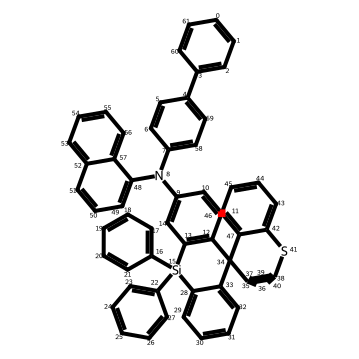 c1ccc(-c2ccc(N(c3ccc4c(c3)[Si](c3ccccc3)(c3ccccc3)c3ccccc3C43c4ccccc4Sc4ccccc43)c3cccc4ccccc34)cc2)cc1